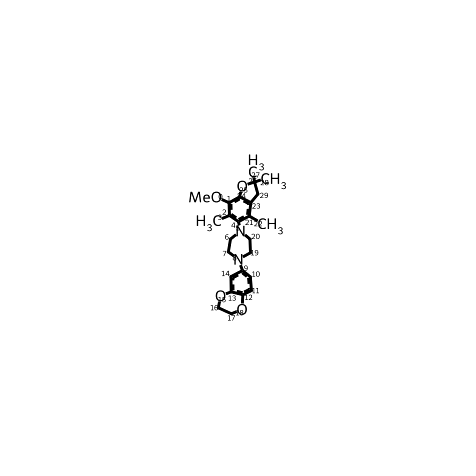 COc1c(C)c(N2CCN(c3ccc4c(c3)OCCO4)CC2)c(C)c2c1OC(C)(C)C2